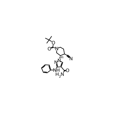 CC(C)(C)OC(=O)N1CCC(C#N)[C@@H](n2cc(C(N)=O)c(Nc3ccccc3)n2)C1